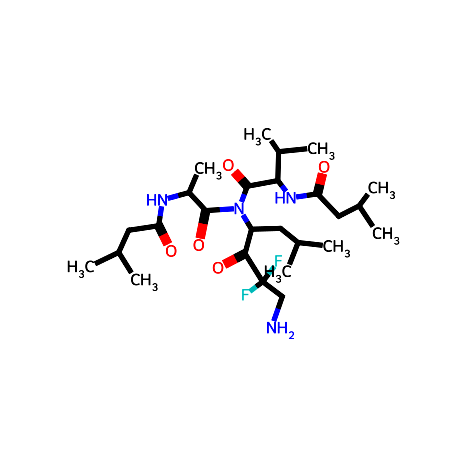 CC(C)CC(=O)NC(C)C(=O)N(C(=O)C(NC(=O)CC(C)C)C(C)C)C(CC(C)C)C(=O)C(F)(F)CN